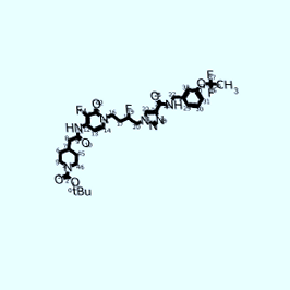 CC(C)(C)OC(=O)N1CCC(CC(=O)Nc2ccn(CCC(F)Cn3cc(C(=O)NCc4cccc(OC(C)(F)F)c4)nn3)c(=O)c2F)CC1